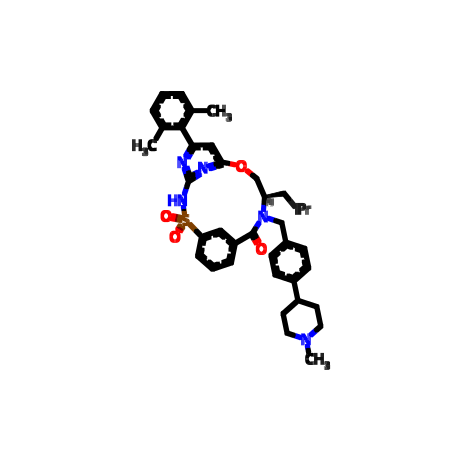 Cc1cccc(C)c1-c1cc2nc(n1)NS(=O)(=O)c1cccc(c1)C(=O)N(Cc1ccc(C3CCN(C)CC3)cc1)[C@H](CC(C)C)CO2